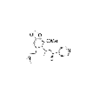 COc1c2c(cc(CCN(C)C)c1C(C)CC(=O)c1ccncc1)OCO2